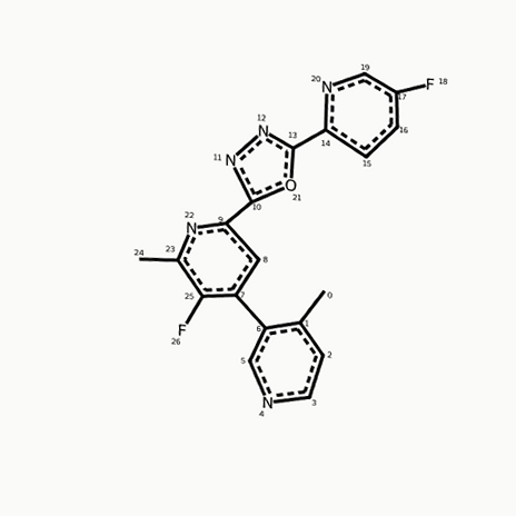 Cc1ccncc1-c1cc(-c2nnc(-c3ccc(F)cn3)o2)nc(C)c1F